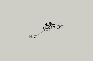 CCCCCCCCC(=O)O[C@@]1(F)[C@@H]2C[C@@H](OCc3ccc(Cl)c(Cl)c3)[C@@](N)(C(=O)O)[C@@H]21